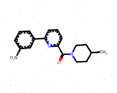 CC1CCN(C(=O)c2cccc(-c3cccc([N+](=O)[O-])c3)n2)CC1